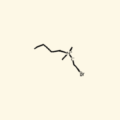 CCCC[N+](C)(C)CCBr